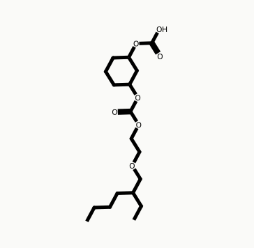 CCCCC(CC)COCCOC(=O)OC1CCCC(OC(=O)O)C1